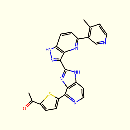 CC(=O)c1ccc(-c2nccc3[nH]c(-c4n[nH]c5ccc(-c6cnccc6C)nc45)nc23)s1